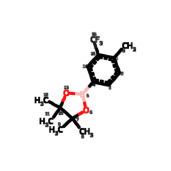 Cc1ccc(B2OC(C)(C)C(C)(C)O2)cc1C(F)(F)F